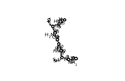 COc1cc(C(=O)N2c3ccccc3C[C@H]2C)c(N)cc1OCc1cc(COc2cc3c(cc2OC)C(=O)N2c4ccc(-c5ccc6c(c5)C[C@@H](C)N6C(=O)c5cc(OC)c(OCc6cc(COc7cc8c(cc7OC)C(=O)N7c9ccccc9C[C@H]7CN8)cc(CSCC(C)(C)SSC)c6)cc5N)cc4C[C@H]2CN3)cc(CSCC(C)(C)SSC)c1